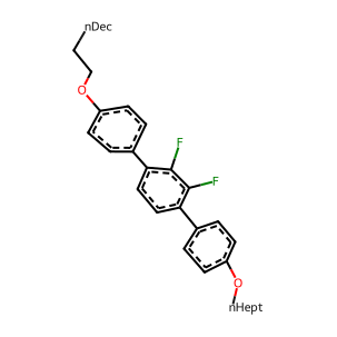 CCCCCCCCCCCCOc1ccc(-c2ccc(-c3ccc(OCCCCCCC)cc3)c(F)c2F)cc1